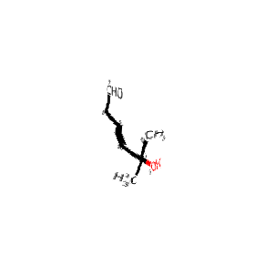 CC(C)(O)/C=C/CC=O